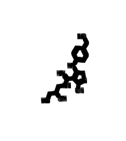 N=C(NCC(O)CO)c1c(O)nsc1Nc1ccc(CO)cc1